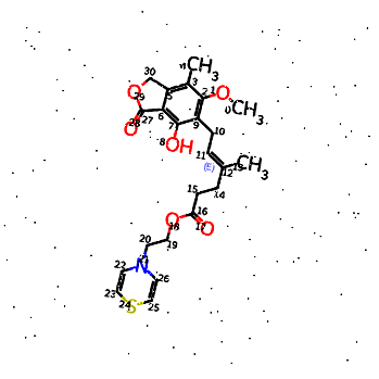 COc1c(C)c2c(c(O)c1C/C=C(\C)CCC(=O)OCCN1C=CSC=C1)C(=O)OC2